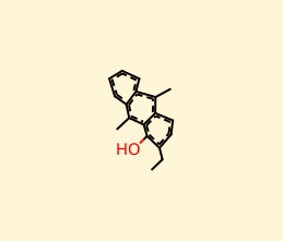 CCc1ccc2c(C)c3ccccc3c(C)c2c1O